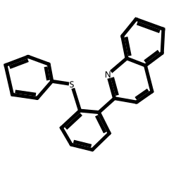 c1ccc(Sc2ccccc2-c2ccc3ccccc3n2)cc1